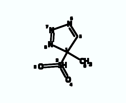 CC1([SH](=O)=O)C=NN=N1